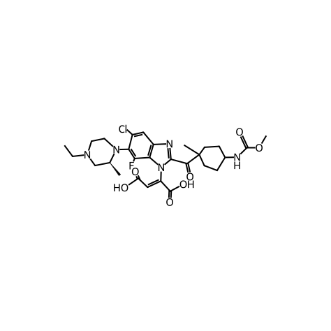 CCN1CCN(c2c(Cl)cc3nc(C(=O)C4(C)CCC(NC(=O)OC)CC4)n(/C(=C\C(=O)O)C(=O)O)c3c2F)[C@@H](C)C1